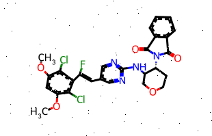 COc1cc(OC)c(Cl)c(/C(F)=C/c2cnc(NC3COCC[C@H]3N3C(=O)c4ccccc4C3=O)nc2)c1Cl